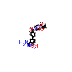 NC(N)c1cc(-c2ccc(C(=O)N3CCN(C(=O)C4(O)CC4)CC3)cc2)ccc1O